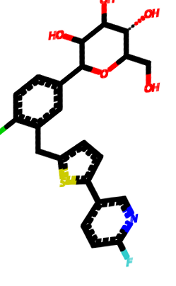 OCC1OC(c2ccc(Cl)c(Cc3ccc(-c4ccc(F)nc4)s3)c2)C(O)C(O)[C@@H]1O